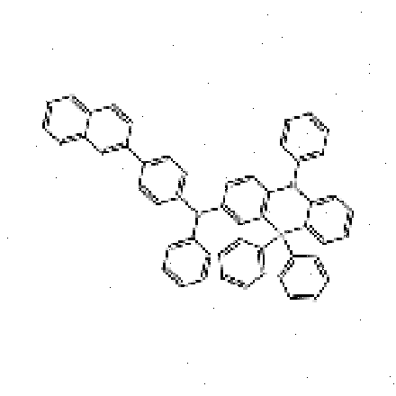 c1ccc(N(c2ccc(-c3ccc4ccccc4c3)cc2)c2ccc3c(c2)[Si](c2ccccc2)(c2ccccc2)c2ccccc2N3c2ccccc2)cc1